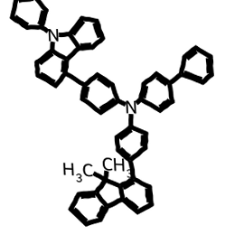 CC1(C)c2ccccc2-c2cccc(-c3ccc(N(c4ccc(-c5ccccc5)cc4)c4ccc(-c5cccc6c5c5ccccc5n6-c5ccccc5)cc4)cc3)c21